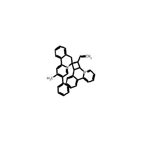 C=CC1C2C(c3ccccc3-c3cccc[n+]32)C12Cc1ccccc1-c1cc(C)c(-c3ccccc3)c[n+]12